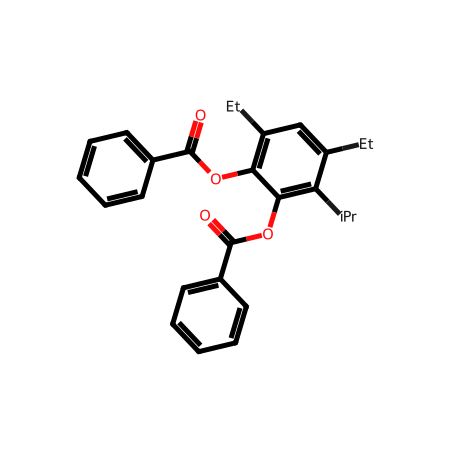 CCc1cc(CC)c(C(C)C)c(OC(=O)c2ccccc2)c1OC(=O)c1ccccc1